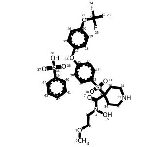 COCCN(O)C(=O)C1(S(=O)(=O)c2ccc(Oc3ccc(OC(F)(F)F)cc3)cc2)CCNCC1.O=S(=O)(O)c1ccccc1